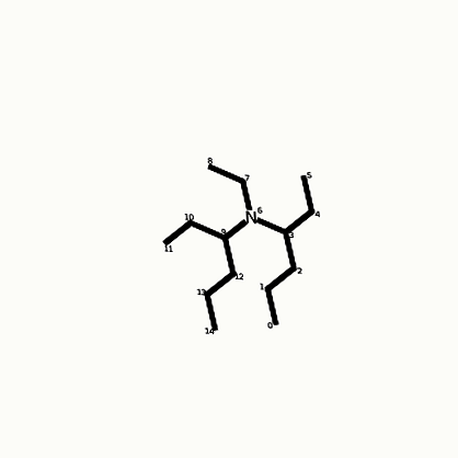 CCCC(CC)N(CC)C(CC)CCC